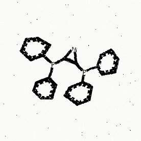 c1ccc(P(c2ccccc2)[CH]2[Ni][CH]2P(c2ccccc2)c2ccccc2)cc1